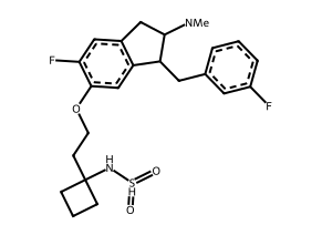 CNC1Cc2cc(F)c(OCCC3(N[SH](=O)=O)CCC3)cc2C1Cc1cccc(F)c1